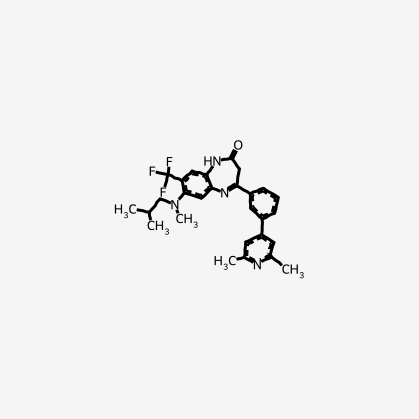 Cc1cc(-c2cccc(C3=Nc4cc(N(C)CC(C)C)c(C(F)(F)F)cc4NC(=O)C3)c2)cc(C)n1